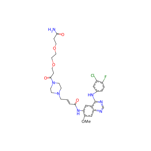 COc1cc2ncnc(Nc3ccc(F)c(Cl)c3)c2cc1NC(=O)/C=C/CN1CCN(C(=O)CCOCCOCCC(N)=O)CC1